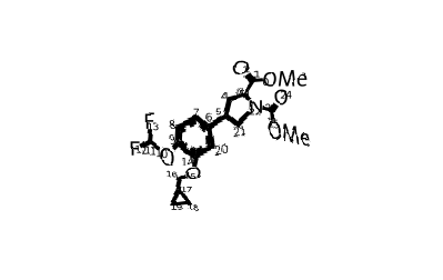 COC(=O)[C@@H]1CC(c2ccc(OC(F)F)c(OCC3CC3)c2)CN1C(=O)OC